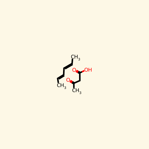 CC(=O)CC(=O)O.CC=CC=CC